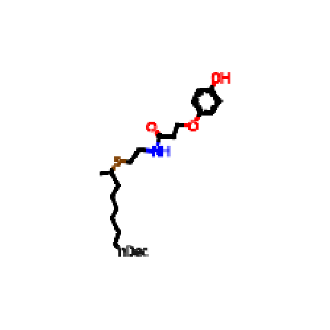 CCCCCCCCCCCCCCCCC(C)SCCNC(=O)CCOc1ccc(O)cc1